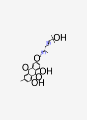 C/C(=C\COc1cc(O)c2c(c1)C(=O)c1cc(C)cc(O)c1C2=O)C/C=C/C(C)(C)O